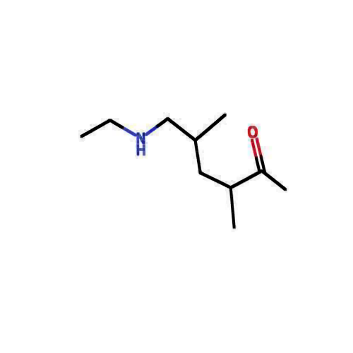 CCNCC(C)CC(C)C(C)=O